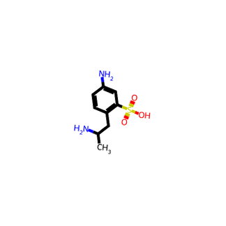 CC(N)Cc1ccc(N)cc1S(=O)(=O)O